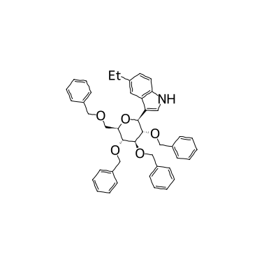 CCc1ccc2[nH]cc([C@@H]3O[C@H](COCc4ccccc4)[C@@H](OCc4ccccc4)[C@H](OCc4ccccc4)[C@H]3OCc3ccccc3)c2c1